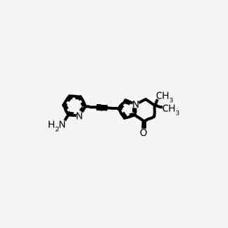 CC1(C)CC(=O)c2cc(C#Cc3cccc(N)n3)cn2C1